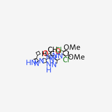 C=CC(=O)NC1CN(c2n[nH]cc2C2CCC2)CC1Nc1ncc2c(n1)N(C)C(=O)N(c1c(Cl)c(OC)cc(OC)c1Cl)C2